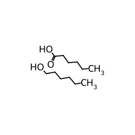 CCCCCC(=O)O.CCCCCCO